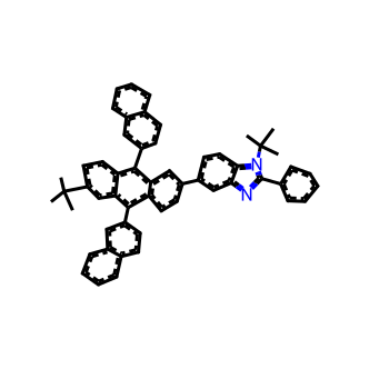 CC(C)(C)c1ccc2c(-c3ccc4ccccc4c3)c3cc(-c4ccc5c(c4)nc(-c4ccccc4)n5C(C)(C)C)ccc3c(-c3ccc4ccccc4c3)c2c1